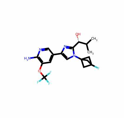 CC(C)[C@@H](O)c1nc(-c2cnc(N)c(OC(F)(F)F)c2)cn1C12CC(F)(C1)C2